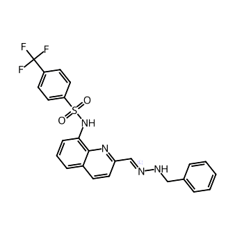 O=S(=O)(Nc1cccc2ccc(/C=N/NCc3ccccc3)nc12)c1ccc(C(F)(F)F)cc1